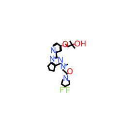 CN(CC(=O)N1CCC(F)(F)CC1)c1nc(-c2cc(OCC(C)(C)O)ccn2)nc2c1CCC2